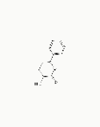 CC1CCC(c2ccccc2)OC1=O